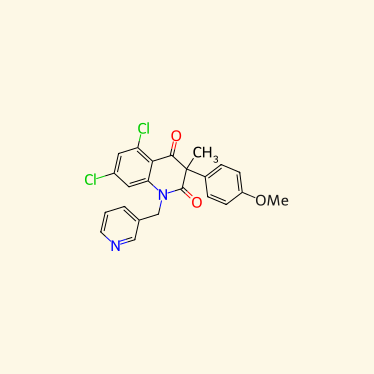 COc1ccc(C2(C)C(=O)c3c(Cl)cc(Cl)cc3N(Cc3cccnc3)C2=O)cc1